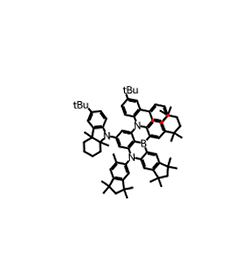 Cc1cc2c(cc1N1c3cc4c(cc3B3c5cc6c(cc5N(c5ccc(C(C)(C)C)cc5-c5ccccc5)c5cc(N7c8ccc(C(C)(C)C)cc8C8(C)CCCCC78C)cc1c53)C(C)(C)CCC6(C)C)C(C)(C)CC4(C)C)C(C)(C)CC2(C)C